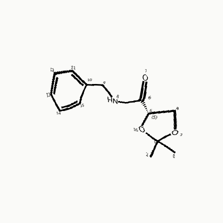 CC1(C)OC[C@@H](C(=O)NCc2ccccc2)O1